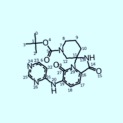 CC(C)(C)OC(=O)N1CCCC2(C1)NC(=O)c1ccc(Nc3ccncn3)c(=O)n12